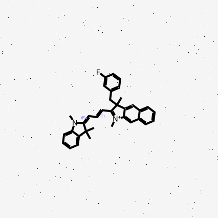 CN1/C(=C/C=C/C2=[N+](C)c3cc4ccccc4cc3C2(C)Cc2cccc(F)c2)C(C)(C)c2ccccc21